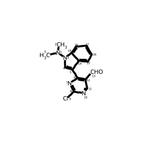 CN(C)n1cc(-c2nc(Cl)ncc2C=O)c2ccccc21